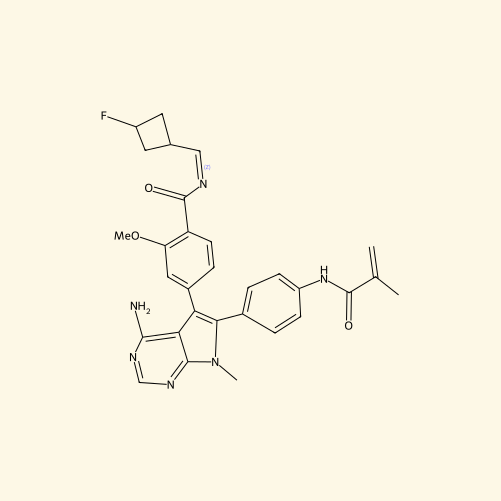 C=C(C)C(=O)Nc1ccc(-c2c(-c3ccc(C(=O)/N=C\C4CC(F)C4)c(OC)c3)c3c(N)ncnc3n2C)cc1